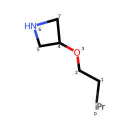 CC(C)CCOC1CNC1